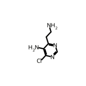 NCCc1ncnc(Cl)c1N